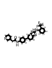 O=C(Cc1cccnc1)Nc1ccc(-c2ccc3nc(Nc4ccccc4C(F)(F)F)nn3c2)cc1